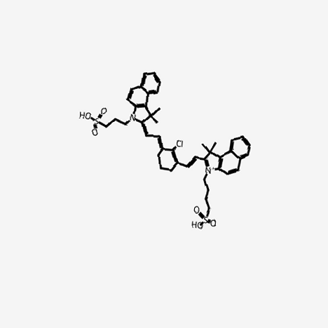 CC1(C)C(/C=C/C2=C(Cl)C(=C/C=C3/N(CCCS(=O)(=O)O)c4ccc5ccccc5c4C3(C)C)/CCC2)=[N+](CCCCS(=O)(=O)O)c2ccc3ccccc3c21